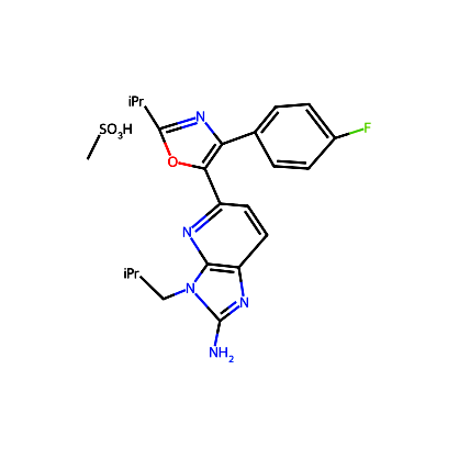 CC(C)Cn1c(N)nc2ccc(-c3oc(C(C)C)nc3-c3ccc(F)cc3)nc21.CS(=O)(=O)O